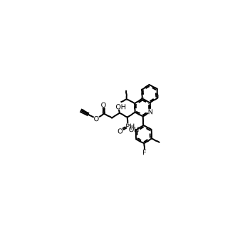 C#COC(=O)CC(O)C(c1c(-c2ccc(F)c(C)c2)nc2ccccc2c1C(C)C)[PH](=O)O